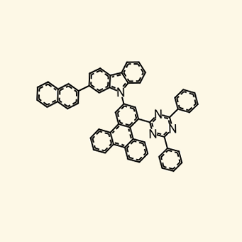 c1ccc(-c2nc(-c3ccccc3)nc(-c3cc(-n4c5ccccc5c5ccc(-c6ccc7ccccc7c6)cc54)cc4c5ccccc5c5ccccc5c34)n2)cc1